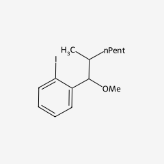 C[CH]CCCC(C)C(OC)c1ccccc1I